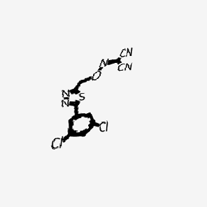 N#CC(C#N)=NOCc1nnc(-c2cc(Cl)cc(Cl)c2)s1